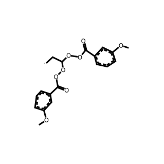 [CH2]C[C](OOC(=O)c1cccc(OC)c1)OOC(=O)c1cccc(OC)c1